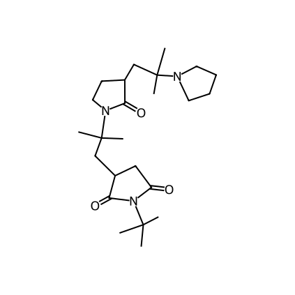 CC(C)(C)N1C(=O)CC(CC(C)(C)N2CCC(CC(C)(C)N3CCCC3)C2=O)C1=O